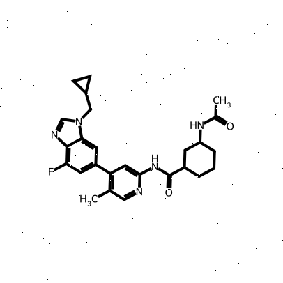 CC(=O)NC1CCCC(C(=O)Nc2cc(-c3cc(F)c4ncn(CC5CC5)c4c3)c(C)cn2)C1